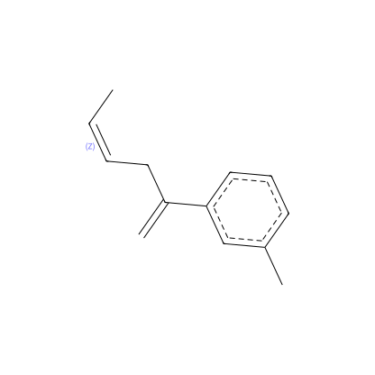 C=C(C/C=C\C)c1cccc(C)c1